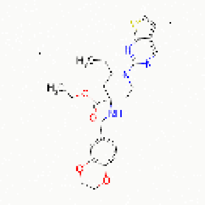 CCOC(=O)C1(NCc2ccc3c(c2)OCCO3)CCN(c2ncc3ccsc3n2)C(CC)C1